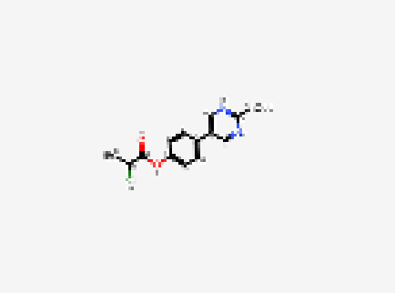 CCCCCCCCc1ncc(-c2ccc(OC(=O)C(Cl)C(C)CC)cc2)cn1